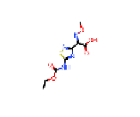 CCOC(=O)Nc1nc(C(=NOC)C(=O)O)ns1